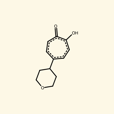 O=c1ccc(C2CCOCC2)ccc1O